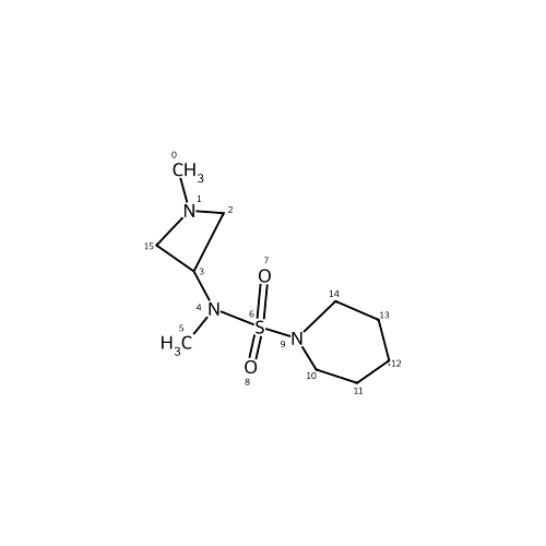 CN1CC(N(C)S(=O)(=O)N2CC[CH]CC2)C1